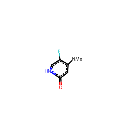 CNc1cc(=O)[nH]cc1F